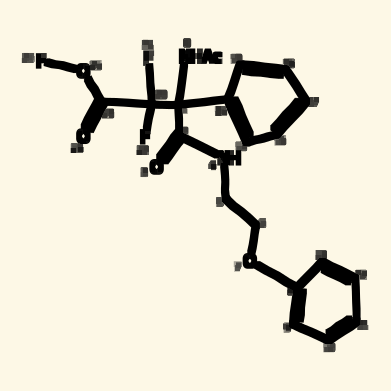 CC(=O)NC(C(=O)NCCOc1ccccc1)(c1ccccc1)C(F)(F)C(=O)OF